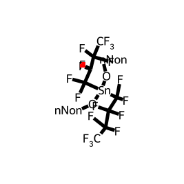 CCCCCCCCC[O][Sn]([O]CCCCCCCCC)([C](F)(F)C(F)(F)C(F)(F)C(F)(F)F)[C](F)(F)C(F)(F)C(F)(F)C(F)(F)F